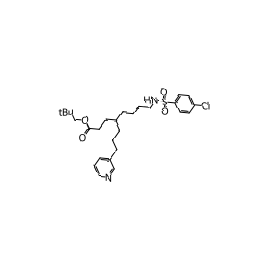 CC(C)(C)COC(=O)CCC(CCCCNS(=O)(=O)c1ccc(Cl)cc1)CCCc1cccnc1